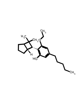 CCCCCc1cc(O)c([C@@H]2[C@@H]3CCCC3C2(C)C)c(OCC)c1